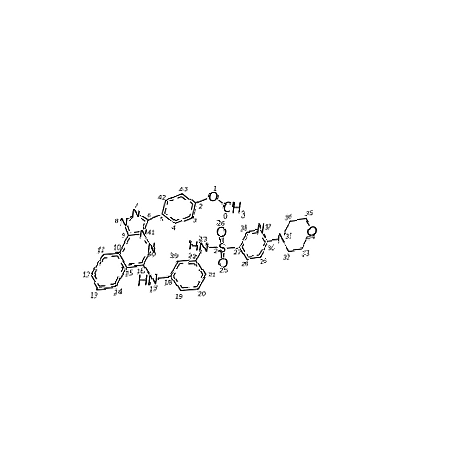 COc1ccc(-c2nnc3c4ccccc4c(Nc4cccc(NS(=O)(=O)c5ccc(N6CCOCC6)nc5)c4)nn23)cc1